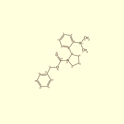 CN(C)c1ccccc1C1CCCN1C(=O)OCc1ccccc1